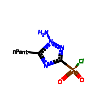 CCCCCc1nc(S(=O)(=O)Cl)nn1N